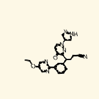 CCOc1cnc(-c2cccc(C(CCC#N)c3nn(-c4cn[nH]c4)ccc3=O)c2)nc1